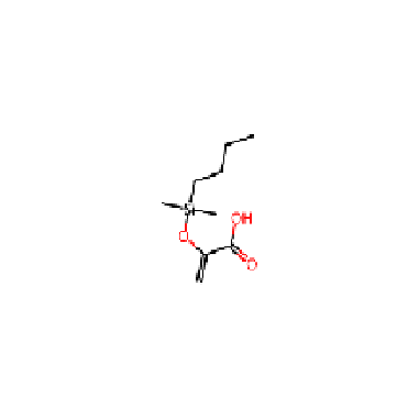 C=C(O[Si](C)(C)CCCC)C(=O)O